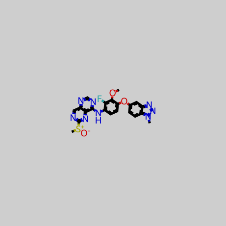 COc1c(Oc2ccc3c(c2)nnn3C)ccc(Nc2ncnc3cnc([S+](C)[O-])nc23)c1F